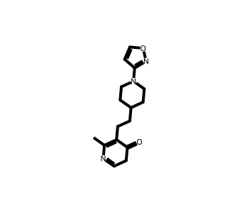 CC1=C(CCC2CCN(c3ccon3)CC2)C(=O)CC=N1